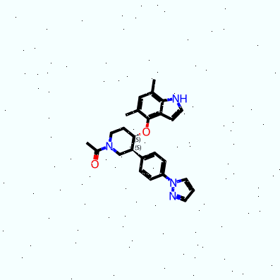 CC(=O)N1CC[C@H](Oc2c(C)cc(C)c3[nH]ccc23)[C@@H](c2ccc(-n3cccn3)cc2)C1